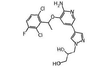 CC(Oc1cc(-c2cnn(CC(O)CO)c2)cnc1N)c1c(Cl)ccc(F)c1Cl